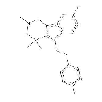 Cc1ccc2c(c1)c1c(n2CCc2ccc(C)nc2)C(C)(C)CN(C)C1